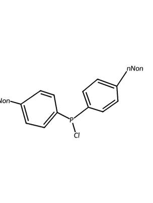 CCCCCCCCCc1ccc(P(Cl)c2ccc(CCCCCCCCC)cc2)cc1